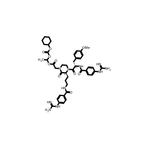 COc1ccc(C[C@H](NC(=O)c2ccc(NC(=N)N)cc2)C(=O)N2CCN(CC(=O)OC(C)OC(=O)OC3CCCCC3)C(=O)[C@@H]2CCCNC(=O)c2ccc(NC(=N)N)cc2)cc1